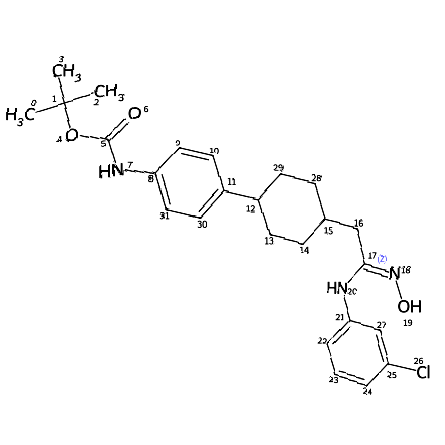 CC(C)(C)OC(=O)Nc1ccc(C2CCC(C/C(=N/O)Nc3cccc(Cl)c3)CC2)cc1